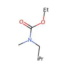 CCOC(=O)N(C)CC(C)C